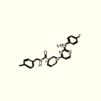 Cc1ccc(CNC(=O)[C@H]2CCCN(c3ccnc(Nc4ccc(F)cc4)n3)C2)cc1